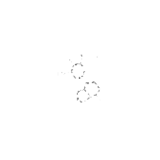 COC(=O)c1nc(-c2ccc(Cl)c3[nH]ccc23)cc(N)c1Cl